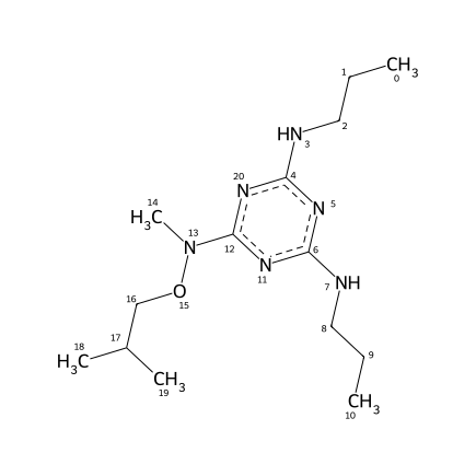 CCCNc1nc(NCCC)nc(N(C)OCC(C)C)n1